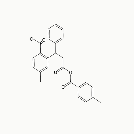 Cc1ccc(C(=O)OC(=O)CC(c2ccccc2)c2cc(C)ccc2C(=O)Cl)cc1